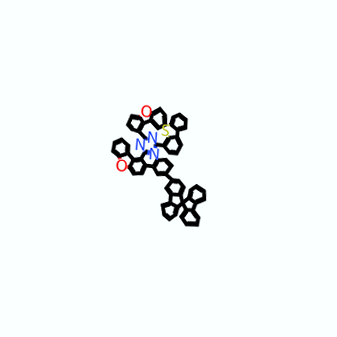 c1cc(-c2ccc3c(c2)-c2ccccc2C32c3ccccc3-c3ccccc32)cc(-c2ccc3oc4ccccc4c3c2-c2nc(-c3cccc4c3sc3ccccc34)nc(-c3cccc4oc5ccccc5c34)n2)c1